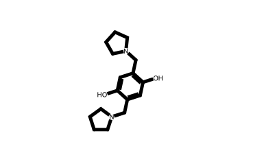 Oc1cc(CN2CCCC2)c(O)cc1CN1CCCC1